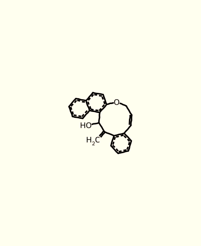 C=C1c2ccccc2/C=C\COc2ccc3ccccc3c2C1O